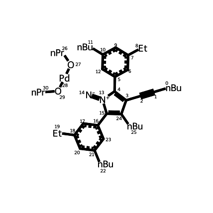 CCCCC#CC1=C(c2cc(CC)cc(CCCC)c2)[N+](=[N-])C(c2cc(CC)cc(CCCC)c2)=C1CCCC.CCC[O][Pd][O]CCC